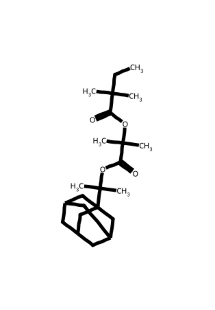 CCC(C)(C)C(=O)OC(C)(C)C(=O)OC(C)(C)C12CC3CC(CC(C3)C1)C2